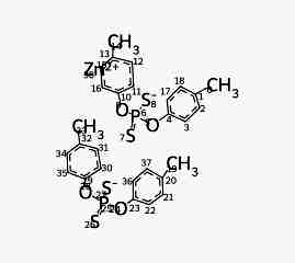 Cc1ccc(OP(=S)([S-])Oc2ccc(C)cc2)cc1.Cc1ccc(OP(=S)([S-])Oc2ccc(C)cc2)cc1.[Zn+2]